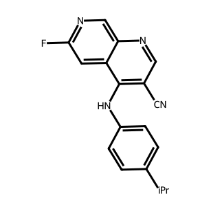 CC(C)c1ccc(Nc2c(C#N)cnc3cnc(F)cc23)cc1